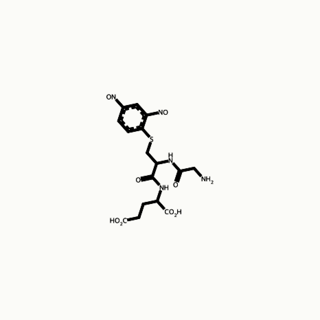 NCC(=O)NC(CSc1ccc(N=O)cc1N=O)C(=O)NC(CCC(=O)O)C(=O)O